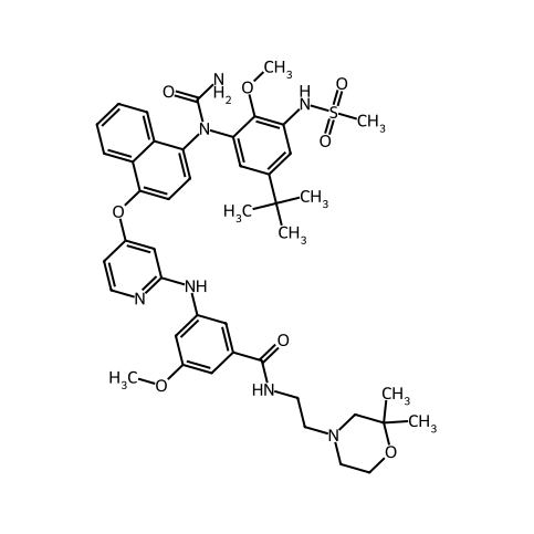 COc1cc(Nc2cc(Oc3ccc(N(C(N)=O)c4cc(C(C)(C)C)cc(NS(C)(=O)=O)c4OC)c4ccccc34)ccn2)cc(C(=O)NCCN2CCOC(C)(C)C2)c1